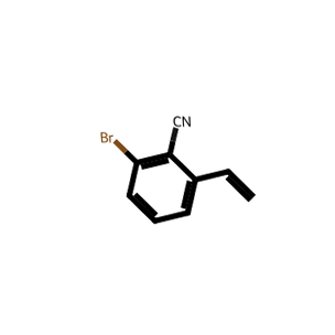 C=Cc1cccc(Br)c1C#N